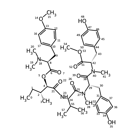 CC[C@@H](C)[C@@H](OC(=O)[C@H](Cc1ccc(OC)cc1)N(C)C)C(=O)N[C@H](C(=O)N(C)[C@@H](Cc1ccc(O)cc1)C(=O)N(C)[C@@H](Cc1ccc(O)cc1)C(=O)OC)C(C)C